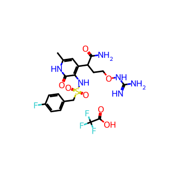 Cc1cc(C(CCONC(=N)N)C(N)=O)c(NS(=O)(=O)Cc2ccc(F)cc2)c(=O)[nH]1.O=C(O)C(F)(F)F